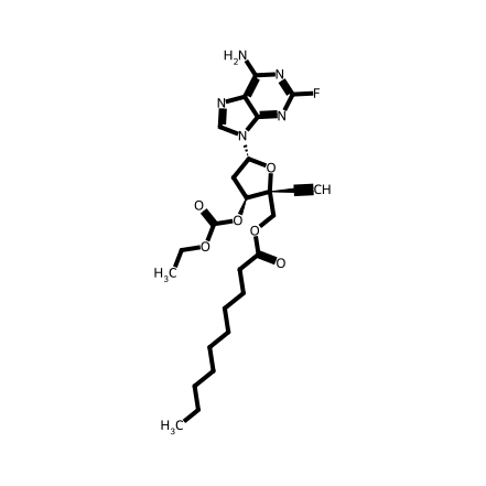 C#C[C@]1(COC(=O)CCCCCCCCC)O[C@@H](n2cnc3c(N)nc(F)nc32)C[C@@H]1OC(=O)OCC